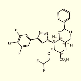 O=C(O)[C@@H]1O[C@@H]2COC(c3ccccc3)O[C@@H]2[C@H](n2cc(-c3cc(F)c(Br)c(F)c3)nn2)[C@H]1OCC(F)F